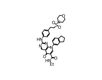 CCNC(=O)c1cn(-c2ccc3c(c2)CCC3)c2nc(Nc3ccc(CCS(=O)(=O)N4CCOCC4)cc3)ncc2c1=O